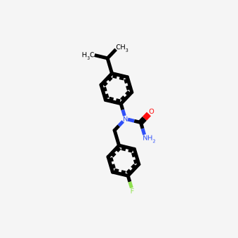 CC(C)c1ccc(N(Cc2ccc(F)cc2)C(N)=O)cc1